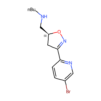 CCCCNC[C@@H]1CC(c2ccc(Br)cn2)=NO1